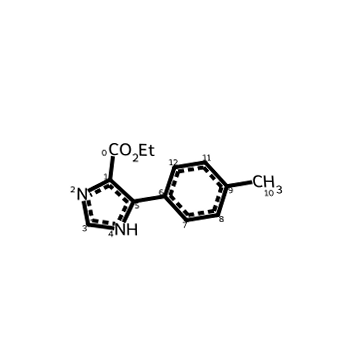 CCOC(=O)c1nc[nH]c1-c1ccc(C)cc1